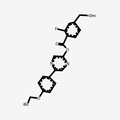 CCCCCCCCCCCc1ccc(C(=O)Oc2cnc(-c3ccc(OCC(C)CC)cc3)cn2)c(F)c1